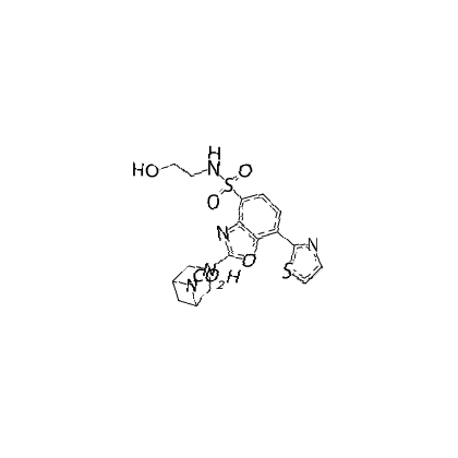 O=C(O)N1C2CC1CN(c1nc3c(S(=O)(=O)NCCO)ccc(-c4nccs4)c3o1)C2